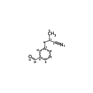 CC(C#N)Cc1cccc(C=O)c1